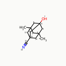 [CH2]C12CC3(C)CC(O)(C1)CC(C#N)(C2)C3